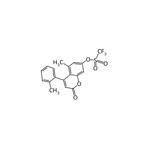 Cc1ccccc1-c1cc(=O)oc2cc(OS(=O)(=O)C(F)(F)F)cc(C)c12